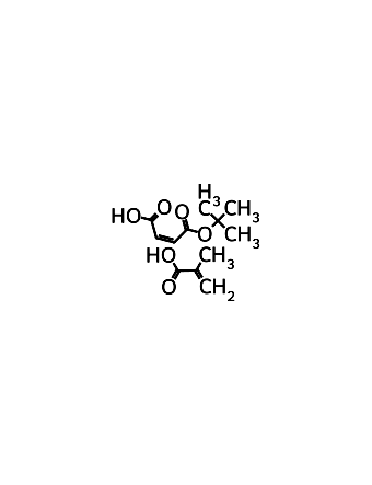 C=C(C)C(=O)O.CC(C)(C)OC(=O)/C=C\C(=O)O